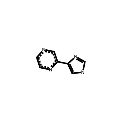 C1=NC(c2cnccn2)=C[N]1